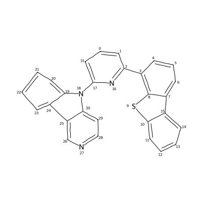 c1cc(-c2cccc3c2sc2ccccc23)nc(-n2c3ccccc3c3cnccc32)c1